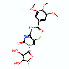 COc1cc(C(=O)Nc2nc(=O)n([C@@H]3O[C@H](C)C(O)C3O)cc2F)cc(OC)c1OC